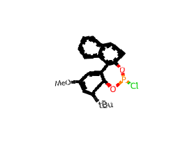 COC1=CC(C(C)(C)C)C2OP(Cl)Oc3ccc4ccccc4c3C2=C1